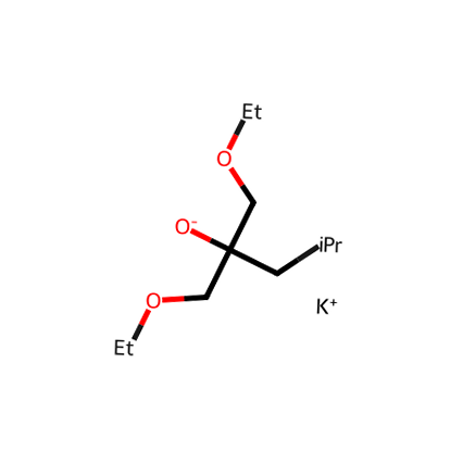 CCOCC([O-])(COCC)CC(C)C.[K+]